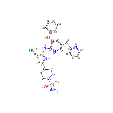 Cl.NS(=O)(=O)N1CCC(c2csc(Nc3ncc(Sc4ccccn4)cc3Oc3ccccc3)n2)CC1